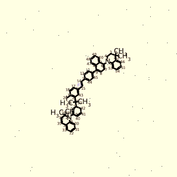 CC1(C)CCN(c2ccc(-c3ccc(/C=C/c4ccc(I)c(C(C)(C)C5C=C(N6c7ccccc7C=CC6(C)C)C=CC5)c4)cc3)c3ccccc23)c2ccccc21